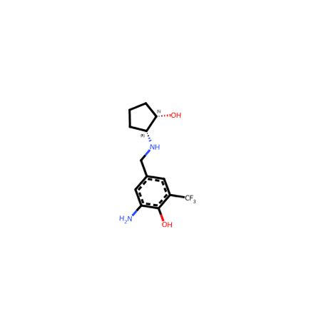 Nc1cc(CN[C@@H]2CCC[C@@H]2O)cc(C(F)(F)F)c1O